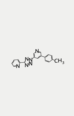 Cc1ccc(-c2cncc(-n3nnc(-c4ccccn4)n3)c2)cc1